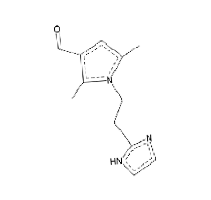 Cc1cc(C=O)c(C)n1CCc1ncc[nH]1